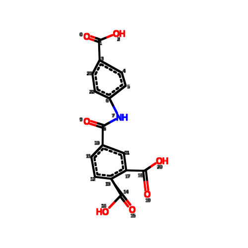 O=C(O)c1ccc(NC(=O)c2ccc(C(=O)O)c(C(=O)O)c2)cc1